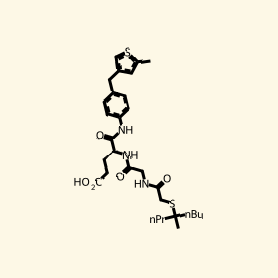 CCCCC(C)(CCC)SCC(=O)NCC(=O)N[C@@H](CCC(=O)O)C(=O)Nc1ccc(Cc2csc(C)c2)cc1